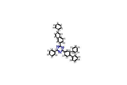 c1ccc(-c2ccc3cc(-c4nc(-c5ccccc5)nc(-c5ccc(-c6ccccc6)c(-c6ccccc6)c5)n4)ccc3c2)cc1